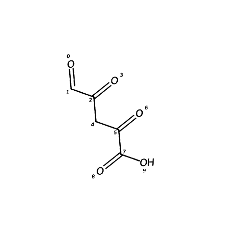 O=CC(=O)CC(=O)C(=O)O